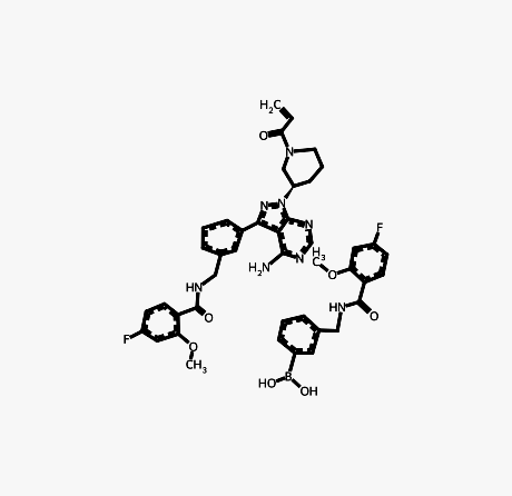 C=CC(=O)N1CCC[C@@H](n2nc(-c3cccc(CNC(=O)c4ccc(F)cc4OC)c3)c3c(N)ncnc32)C1.COc1cc(F)ccc1C(=O)NCc1cccc(B(O)O)c1